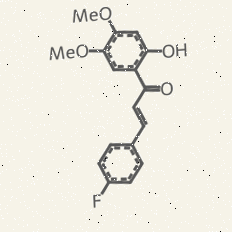 COc1cc(O)c(C(=O)/C=C/c2ccc(F)cc2)cc1OC